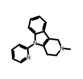 CN1CCc2c(c3ccccc3n2-c2ccccn2)C1